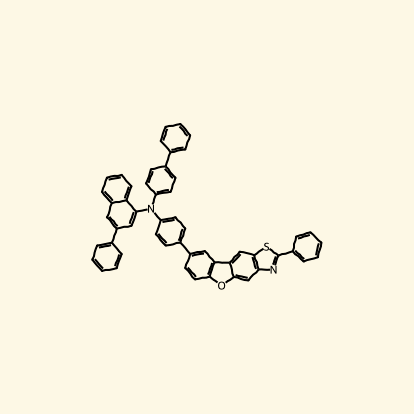 c1ccc(-c2ccc(N(c3ccc(-c4ccc5oc6cc7nc(-c8ccccc8)sc7cc6c5c4)cc3)c3cc(-c4ccccc4)cc4ccccc34)cc2)cc1